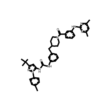 Cc1ccc(-n2nc(C(C)(C)C)cc2NC(=O)Nc2cccc(CC3CCN(C(=O)c4cccc(Nc5nc(C)cc(C)n5)c4)CC3)c2)cc1